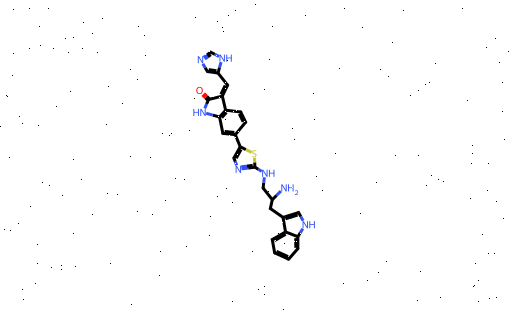 NC(CNc1ncc(-c2ccc3c(c2)NC(=O)C3=Cc2cnc[nH]2)s1)Cc1c[nH]c2ccccc12